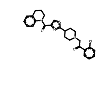 O=C(CN1CCC(c2nc(C(=O)N3CCCc4ccccc43)cs2)CC1)c1ccccc1Cl